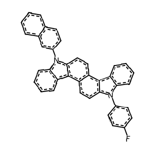 Fc1ccc(-n2c3ccccc3c3c4ccc5c(c4ccc32)c2ccccc2n5-c2ccc3ccccc3c2)cc1